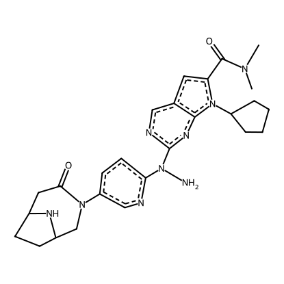 CN(C)C(=O)c1cc2cnc(N(N)c3ccc(N4CC5CCC(CC4=O)N5)cn3)nc2n1C1CCCC1